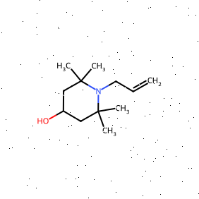 C=CCN1C(C)(C)CC(O)CC1(C)C